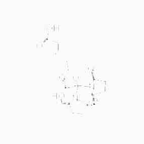 O=C(O)COCCOC(C(=O)O)(N1C(=O)CCC1=O)N1C(=O)CCC1=O